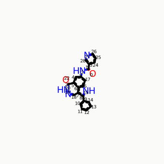 O=C(Nc1cc2c3c(c(-c4ccccc4)[nH]c3c1)C=NNC2=O)c1cccnc1